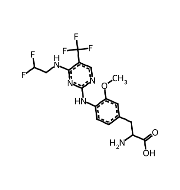 COc1cc(CC(N)C(=O)O)ccc1Nc1ncc(C(F)(F)F)c(NCC(F)F)n1